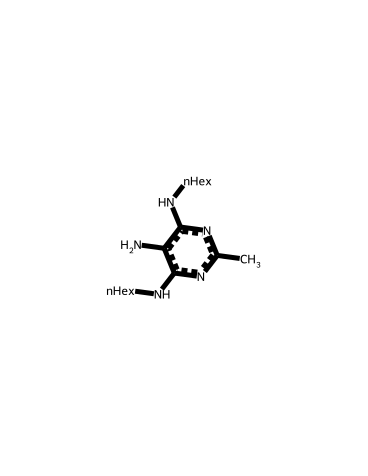 CCCCCCNc1nc(C)nc(NCCCCCC)c1N